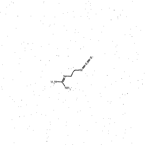 [N-]=[N+]=NCCN=C(N)N